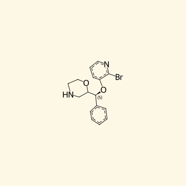 Brc1ncccc1O[C@@H](c1ccccc1)C1CNCCO1